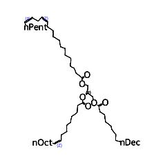 CCCCC/C=C\C/C=C\CCCCCCCCCCCC(=O)OC[C@@H](COC(=O)CCCCCCCCCCCCCCCCC)OC(=O)CCCCCCC/C=C\CCCCCCCC